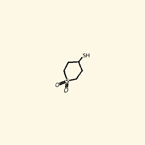 O=S1(=O)CCC(S)CC1